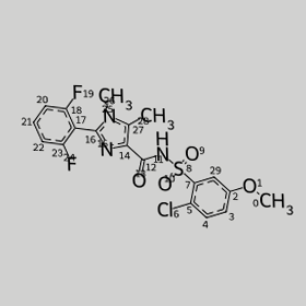 COc1ccc(Cl)c(S(=O)(=O)NC(=O)c2nc(-c3c(F)cccc3F)n(C)c2C)c1